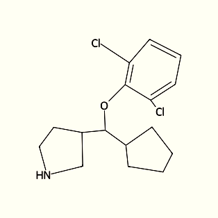 Clc1cccc(Cl)c1OC(C1CCCC1)C1CCNC1